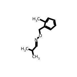 Cc1ccccc1CON=CC(C)C